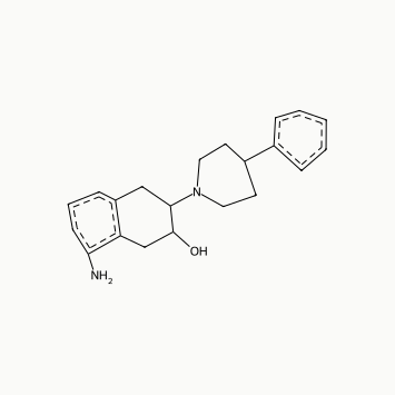 Nc1cccc2c1CC(O)C(N1CCC(c3ccccc3)CC1)C2